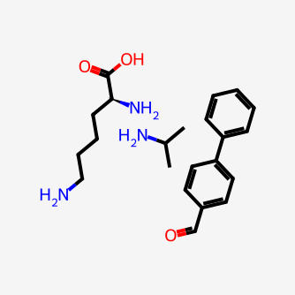 CC(C)N.NCCCC[C@H](N)C(=O)O.O=Cc1ccc(-c2ccccc2)cc1